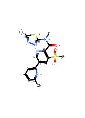 CCS(=O)(=O)c1cc(-c2cccc(C#N)n2)cnc1C(=O)N(C)c1nnc(C(F)(F)F)s1